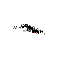 CCCSc1nc(C2CCC[C@@H](CC(=O)OC)C2)ccc1C(=O)N[C@H]1C2CC3CC1C[C@@](S(C)(=O)=O)(C3)C2